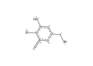 CCc1c(O)cc(CC(C)C)oc1=O